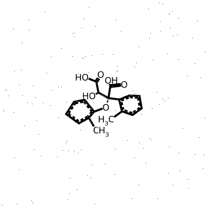 Cc1ccccc1O[C@](C(=O)O)(c1ccccc1C)[C@@H](O)C(=O)O